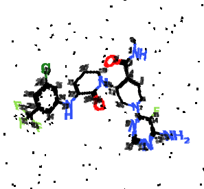 CNC(=O)[C@H]1CCN(c2ncnc(N)c2F)C[C@@H]1N1CCCC(Nc2cc(Cl)cc(C(F)(F)F)c2)C1=O